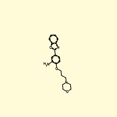 Nc1cc(-c2nc3ccccc3o2)ccc1OCCCN1CCOCC1